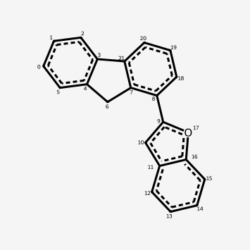 c1ccc2c(c1)Cc1c(-c3cc4ccccc4o3)cccc1-2